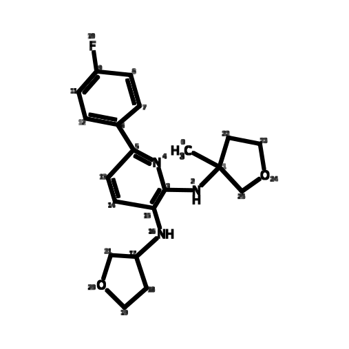 CC1(Nc2nc(-c3ccc(F)cc3)ccc2NC2CCOC2)CCOC1